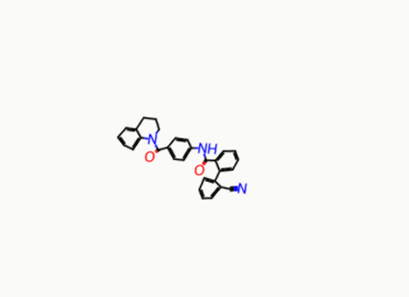 N#Cc1ccccc1-c1ccccc1C(=O)Nc1ccc(C(=O)N2CCCc3ccccc32)cc1